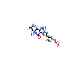 COCCn1cc(C2=CN/C(=C3\C(=N)c4ncc(C)cc4NC3=O)S2)cn1